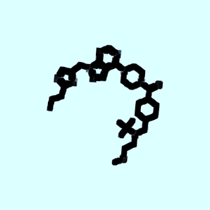 CCCc1nc(Cn2ncc3c(N4CCN(C(=O)C5CCC(CN(CCOC)C(C)(C)C)CC5)CC4)ncnc32)cs1